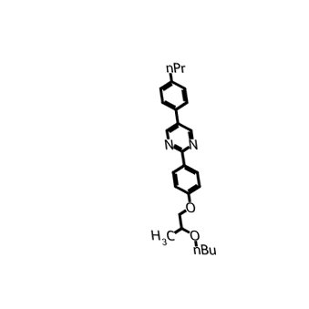 CCCCOC(C)COc1ccc(-c2ncc(-c3ccc(CCC)cc3)cn2)cc1